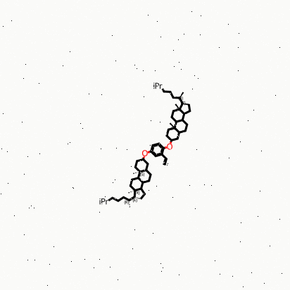 [CH]=Cc1cc(OC2CC[C@@]3(C)C(CCC4C3CC[C@@]3(C)C4CC[C@@H]3[C@H](C)CCCC(C)C)C2)[c]cc1OC1CC[C@@]2(C)C(CCC3C2CC[C@@]2(C)C3CC[C@@H]2[C@H](C)CCCC(C)C)C1